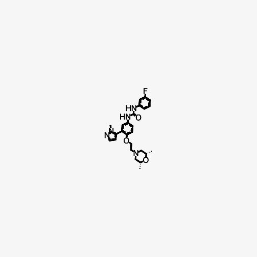 C[C@@H]1CN(CCOc2ccc(NC(=O)Nc3cccc(F)c3)cc2-c2ccnn2C)C[C@H](C)O1